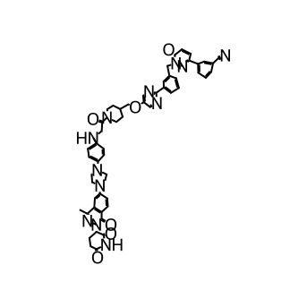 Cc1nn(C2CCC(=O)NC2=O)c(=O)c2ccc(N3CCN(c4ccc(NCC(=O)N5CCC(COc6cnc(-c7cccc(Cn8nc(-c9cccc(C#N)c9)ccc8=O)c7)nc6)CC5)cc4)CC3)cc12